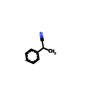 CC(C#N)c1cc[c]cc1